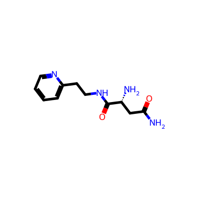 NC(=O)C[C@@H](N)C(=O)NCCc1ccccn1